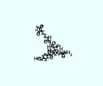 CC(C)[C@H](NC(=O)CNC(=O)CCCCCN1C(=O)CCC1=O)C(=O)N[C@@H](CCCNC(N)=O)C(=O)Nc1ccc(CO)cc1